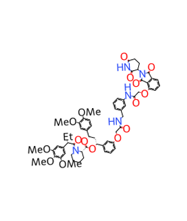 CC[C@H](C(=O)N1CCCC[C@H]1C(=O)O[C@H](CCc1ccc(OC)c(OC)c1)c1cccc(OCC(=O)NCc2cccc(NC(=O)COc3cccc4c3C(=O)N(C3CCC(=O)NC3=O)C4=O)c2)c1)c1cc(OC)c(OC)c(OC)c1